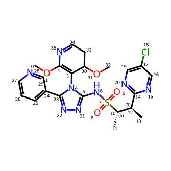 COC1=C(n2c(NS(=O)(=O)[C@@H](C)[C@H](C)c3ncc(Cl)cn3)nnc2-c2cccnc2)C(OC)CC=N1